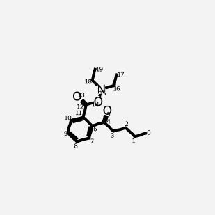 CCCCC(=O)c1ccccc1C(=O)ON(CC)CC